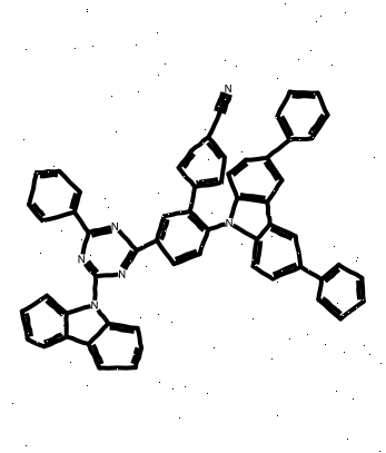 N#Cc1ccc(-c2cc(-c3nc(-c4ccccc4)nc(-n4c5ccccc5c5ccccc54)n3)ccc2-n2c3ccc(-c4ccccc4)cc3c3cc(-c4ccccc4)ccc32)cc1